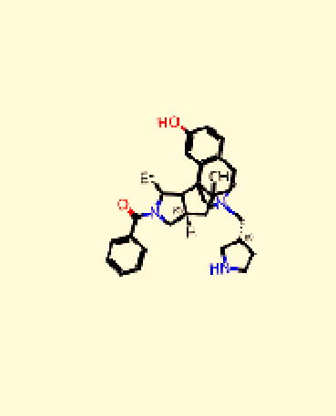 CCC1C2[C@@H](CN1C(=O)c1ccccc1)CC1(C)C3Cc4ccc(O)cc4C21CCN3C[C@@H]1CCNC1